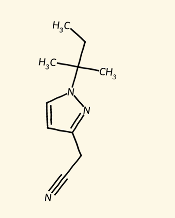 CCC(C)(C)n1ccc(CC#N)n1